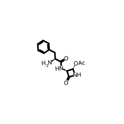 CC(=O)O[C@@H]1NC(=O)[C@H]1NC(=O)[C@@H](N)Cc1ccccc1